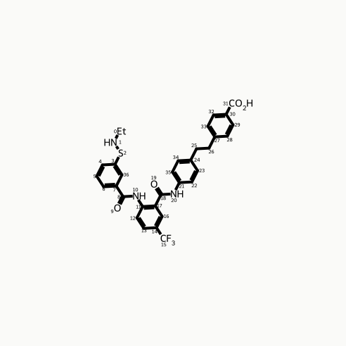 CCNSc1cccc(C(=O)Nc2ccc(C(F)(F)F)cc2C(=O)Nc2ccc(CCc3ccc(C(=O)O)cc3)cc2)c1